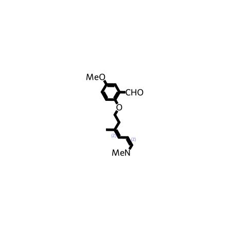 CN/C=C\C=C(\C)CCOc1ccc(OC)cc1C=O